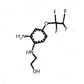 Nc1cc(OC(F)(F)C(F)F)ccc1NCCO